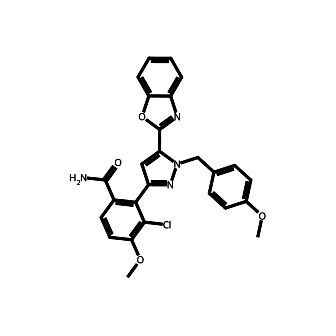 COc1ccc(Cn2nc(-c3c(C(N)=O)ccc(OC)c3Cl)cc2-c2nc3ccccc3o2)cc1